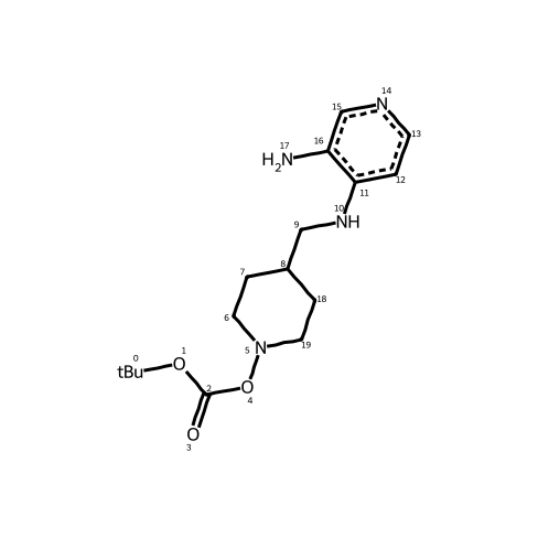 CC(C)(C)OC(=O)ON1CCC(CNc2ccncc2N)CC1